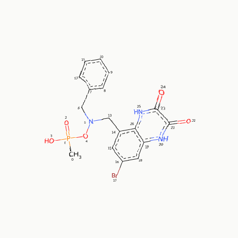 CP(=O)(O)ON(Cc1ccccc1)Cc1cc(Br)cc2[nH]c(=O)c(=O)[nH]c12